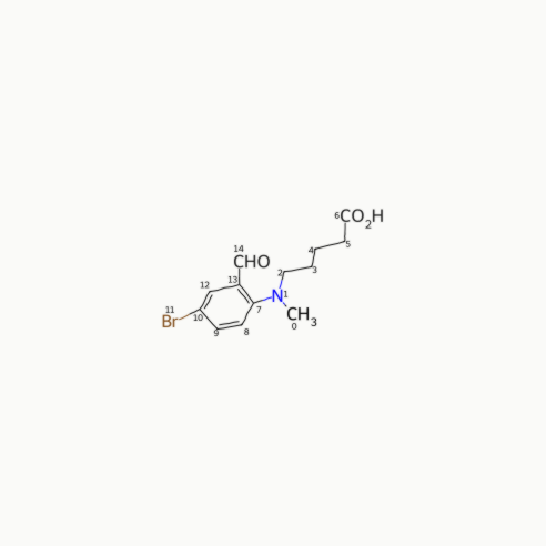 CN(CCCCC(=O)O)c1ccc(Br)cc1C=O